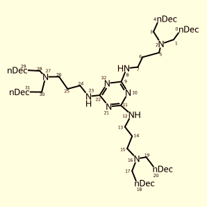 CCCCCCCCCCCN(CCCCCCCCCCC)CCCNc1nc(NCCCN(CCCCCCCCCCC)CCCCCCCCCCC)nc(NCCCN(CCCCCCCCCCC)CCCCCCCCCCC)n1